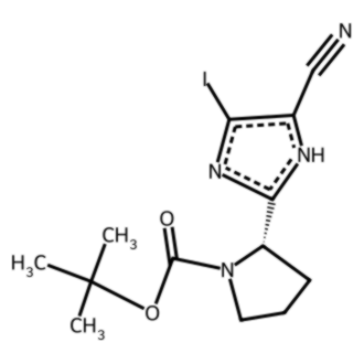 CC(C)(C)OC(=O)N1CCC[C@H]1c1nc(I)c(C#N)[nH]1